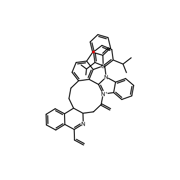 C=CC1=NC2CC(=C)[n+]3c(n(-c4c(C(C)C)cccc4C(C)C)c4ccccc43)-c3c(ccc4c3oc3ccccc34)CCC2c2ccccc21